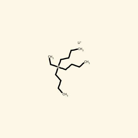 CCCC[B-](CC)(CCCC)CCCC.[Li+]